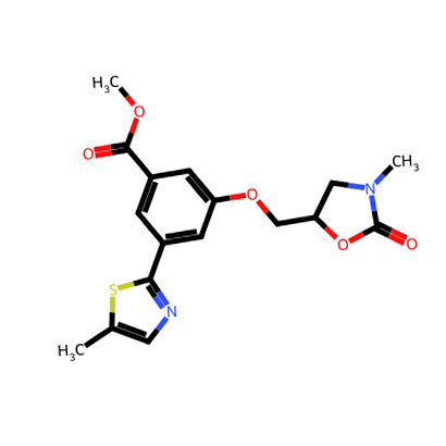 COC(=O)c1cc(OCC2CN(C)C(=O)O2)cc(-c2ncc(C)s2)c1